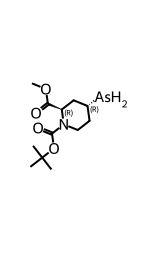 COC(=O)[C@H]1C[C@H]([AsH2])CCN1C(=O)OC(C)(C)C